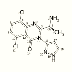 C[C@H](N)c1nc2c(Cl)ccc(Cl)c2c(=O)n1-c1cc[nH]n1